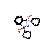 CO[Si](N[Si](OC)(c1ccccc1)c1ccccc1)(c1ccccc1)c1ccccc1